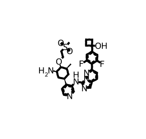 C[C@H]1C[C@@H](c2ccncc2Nc2ncc3ccc(-c4c(F)cc(C5(O)CCC5)cc4F)nn23)C[C@@H](N)[C@H]1OCCS(C)(=O)=O